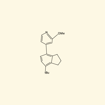 COc1cc(-c2ccc(C(C)(C)C)c3c2CCC3)ccn1